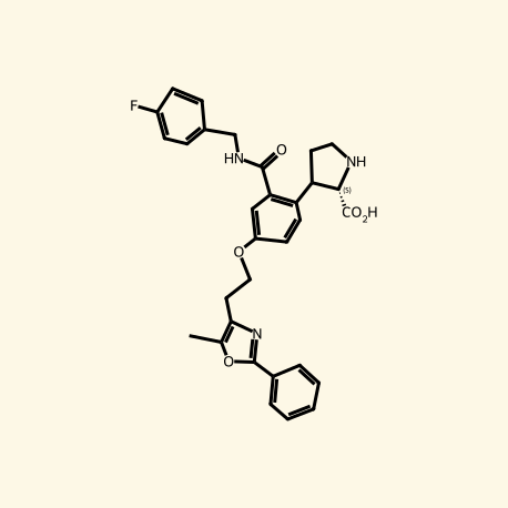 Cc1oc(-c2ccccc2)nc1CCOc1ccc(C2CCN[C@@H]2C(=O)O)c(C(=O)NCc2ccc(F)cc2)c1